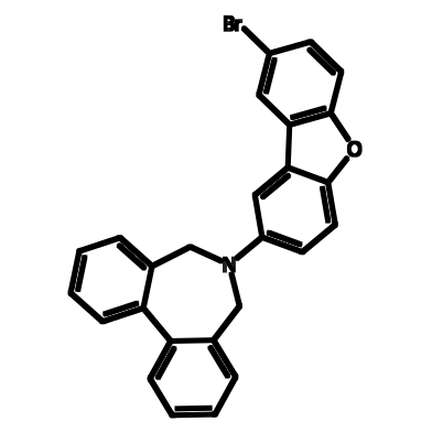 Brc1ccc2oc3ccc(N4Cc5ccccc5-c5ccccc5C4)cc3c2c1